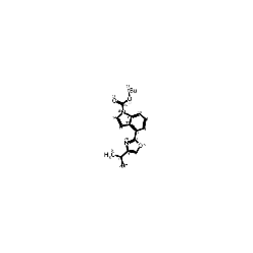 CC(Br)c1coc(-c2cccc3c2ccn3C(=O)OC(C)(C)C)n1